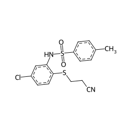 Cc1ccc(S(=O)(=O)Nc2cc(Cl)ccc2SCCC#N)cc1